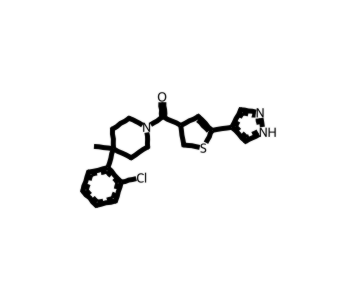 CC1(c2ccccc2Cl)CCN(C(=O)C2C=C(c3cn[nH]c3)SC2)CC1